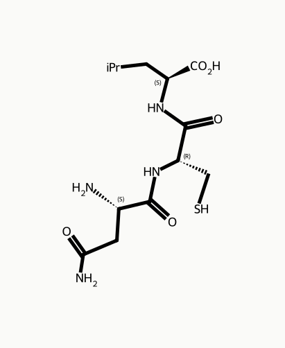 CC(C)C[C@H](NC(=O)[C@H](CS)NC(=O)[C@@H](N)CC(N)=O)C(=O)O